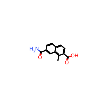 Cc1c(C(=O)O)ccc2ccc(C(N)=O)cc12